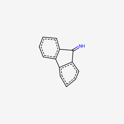 N=C1c2ccccc2-c2ccccc21